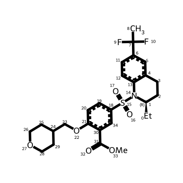 CC[C@@H]1CCc2cc(C(C)(F)F)ccc2N1S(=O)(=O)c1ccc(OCC2CCOCC2)c(C(=O)OC)c1